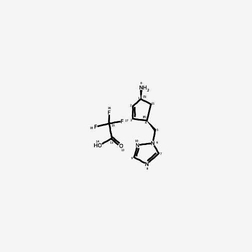 N[C@@H]1C=C[C@H](Cn2cncn2)C1.O=C(O)C(F)(F)F